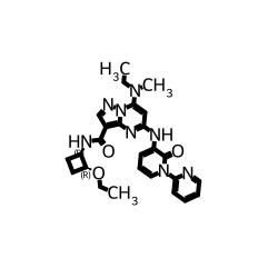 CCO[C@@H]1CC[C@H]1NC(=O)c1cnn2c(N(C)CC)cc(Nc3cccn(-c4ccccn4)c3=O)nc12